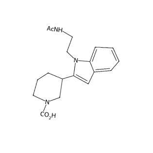 CC(=O)NCCn1c(C2CCCN(C(=O)O)C2)cc2ccccc21